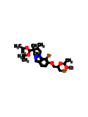 CCOC(C)OC(CBr)COc1ccc2cnn(C[C@@H](C)C(C)(C)C(O[SiH2]C)O[SiH2]C)c2c1Br